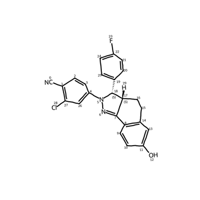 N#Cc1ccc(N2N=C3c4ccc(O)cc4CC[C@H]3[C@H]2c2ccc(F)cc2)cc1Cl